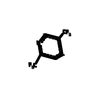 FC(F)(F)c1[c][c]c(C(F)(F)F)n[c]1